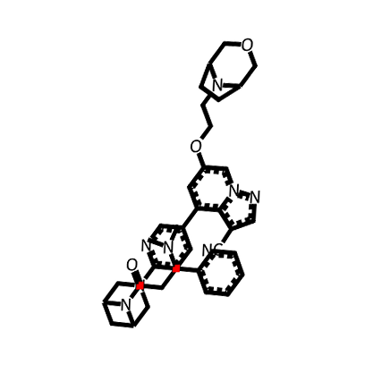 CN(C)C(CC(=O)N1C2CC1CN(c1ccc(-c3cc(OCCN4C5CCC4COC5)cn4ncc(C#N)c34)cn1)C2)c1ccccc1